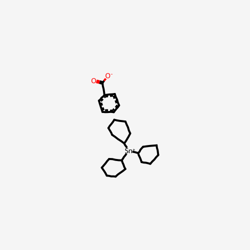 C1CC[CH]([Sn+]([CH]2CCCCC2)[CH]2CCCCC2)CC1.O=C([O-])c1ccccc1